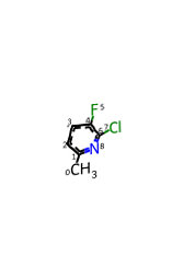 Cc1c[c]c(F)c(Cl)n1